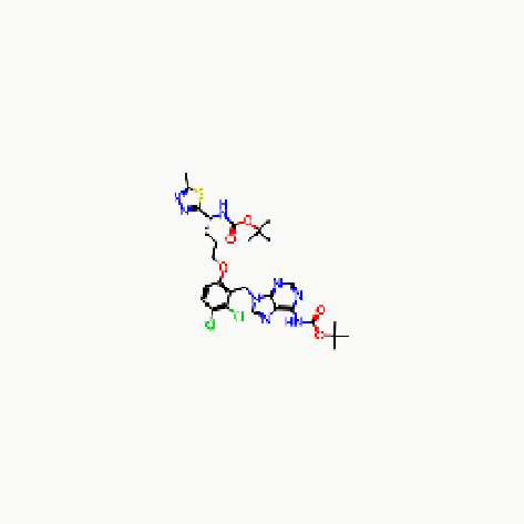 Cc1nnc([C@@H](CCCOc2ccc(Cl)c(Cl)c2Cn2cnc3c(NC(=O)OC(C)(C)C)ncnc32)NC(=O)OC(C)(C)C)s1